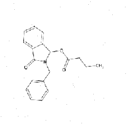 CCCC(=O)OC1c2ccccc2C(=O)N1Cc1ccccc1